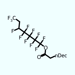 CCCCCCCCCCCC(=O)OC(F)(F)C(F)(F)C(F)(F)C(F)(F)C(F)CC(F)(F)F